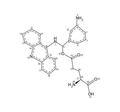 Nc1cccc(C(Nc2c3ccccc3nc3ccccc23)OC(=O)CC[C@H](N)C(=O)O)c1